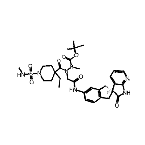 CCC1(C(=O)N(CC(=O)Nc2ccc3c(c2)C[C@@]2(C3)C(=O)Nc3ncccc32)N(C)C(=O)OC(C)(C)C)CCN(S(=O)(=O)NC)CC1